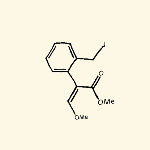 CO/C=C(\C(=O)OC)c1ccccc1CI